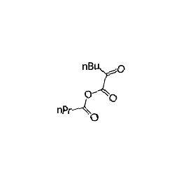 CCCCC(=O)C(=O)OC(=O)CCC